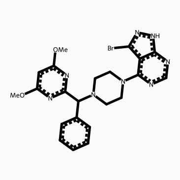 COc1cc(OC)nc(C(c2ccccc2)N2CCN(c3ncnc4[nH]nc(Br)c34)CC2)n1